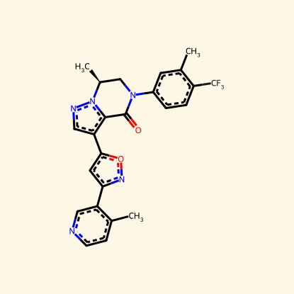 Cc1ccncc1-c1cc(-c2cnn3c2C(=O)N(c2ccc(C(F)(F)F)c(C)c2)C[C@@H]3C)on1